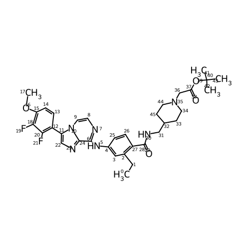 CCc1cc(Nc2nccn3c(-c4ccc(OC)c(F)c4F)cnc23)ccc1C(=O)NCC1CCN(CC(=O)OC(C)(C)C)CC1